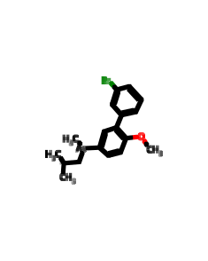 COc1ccc([As](C)C[C](C)C)cc1-c1cccc(Br)c1